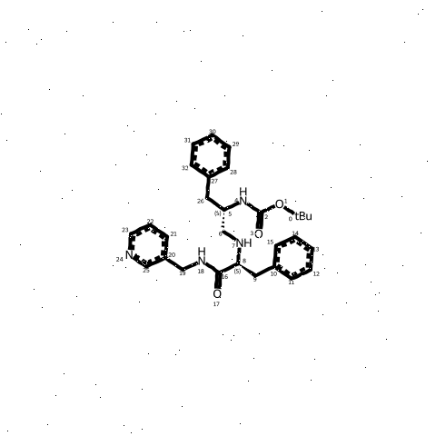 CC(C)(C)OC(=O)N[C@H](CN[C@@H](Cc1ccccc1)C(=O)NCc1cccnc1)Cc1ccccc1